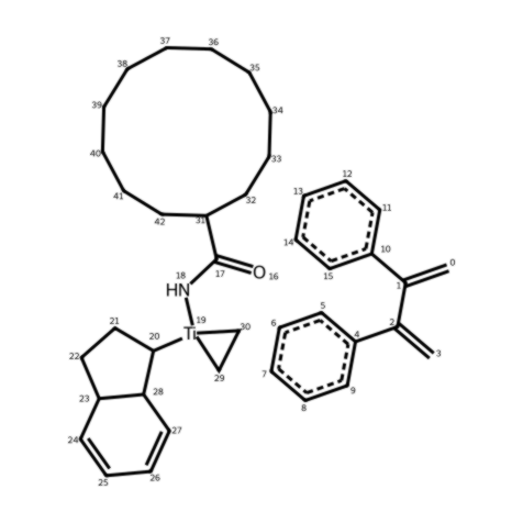 C=C(C(=C)c1ccccc1)c1ccccc1.O=C([NH][Ti]1([CH]2CCC3C=CC=CC32)[CH2][CH2]1)C1CCCCCCCCCCC1